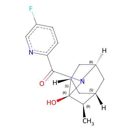 C[C@@H]1[C@H]2C[C@@H]3C[C@H](C2)[C@]1(O)N(C(=O)c1ccc(F)cn1)C3